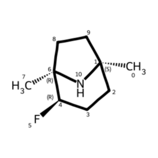 C[C@@]12CC[C@@H](F)[C@@](C)(CC1)N2